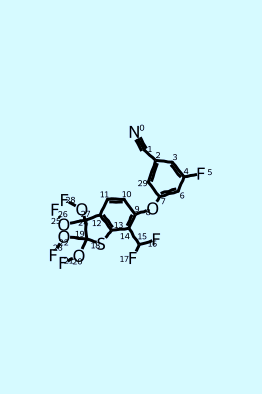 N#Cc1cc(F)cc(Oc2ccc3c(c2C(F)F)SC(OF)(OF)C3(OF)OF)c1